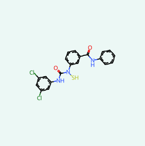 O=C(Nc1ccccc1)c1cccc(N(S)C(=O)Nc2cc(Cl)cc(Cl)c2)c1